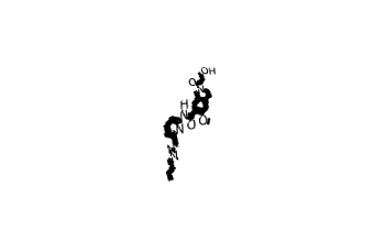 CCC/C=N/N=C/c1cccc(NC(=O)c2cc3c(cc2OC)CCN(C(=O)CCO)C3)n1